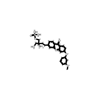 COc1cccc(Oc2ccc3c(=O)c4ccc(CCC(N)(CO)COP(=O)(O)O)cc4oc3c2)c1